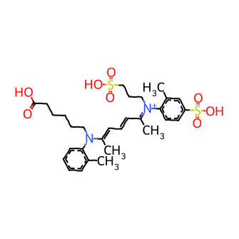 C\C(=C/C=C/C(C)=[N+](\CCCS(=O)(=O)O)c1ccc(S(=O)(=O)O)cc1C)N(CCCCCC(=O)O)c1ccccc1C